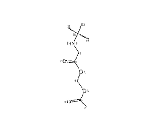 CC(=O)OCOC(=O)CNC(C)(C)C